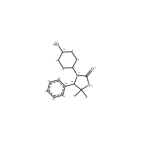 CC1(C)OC(=O)N(C2CCC(O)CC2)C1c1ccccc1